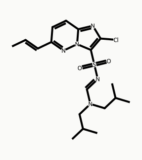 CC=Cc1ccc2nc(Cl)c(S(=O)(=O)/N=C/N(CC(C)C)CC(C)C)n2n1